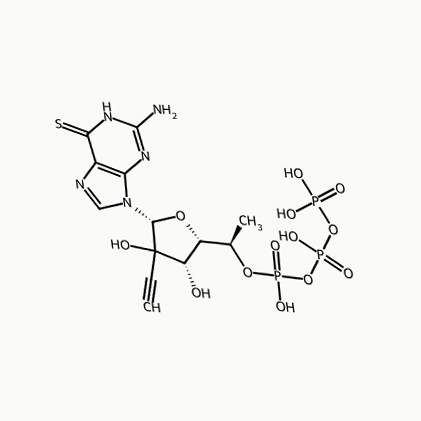 C#CC1(O)[C@@H](O)[C@@H]([C@@H](C)OP(=O)(O)OP(=O)(O)OP(=O)(O)O)O[C@H]1n1cnc2c(=S)[nH]c(N)nc21